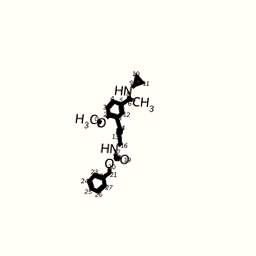 COc1ccc(C(C)NC2CC2)cc1C#CCNC(=O)OCc1ccccc1